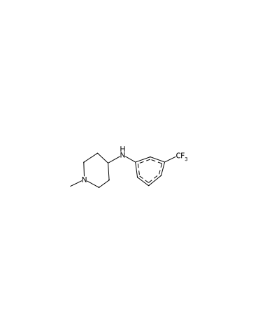 CN1CCC(Nc2cccc(C(F)(F)F)c2)CC1